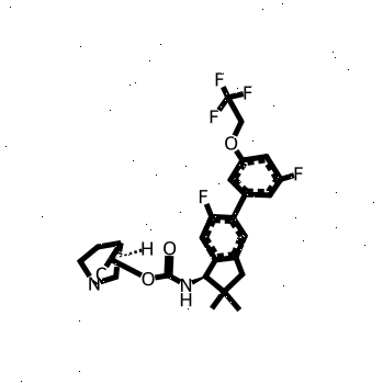 CC1(C)Cc2cc(-c3cc(F)cc(OCC(F)(F)F)c3)c(F)cc2[C@@H]1NC(=O)O[C@H]1CN2CCC1CC2